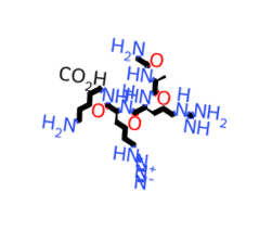 C[C@H](NC(=O)CN)C(=O)N[C@@H](CCCNC(=N)N)C(=O)N[C@@H](CCCCNN=[N+]=[N-])C(=O)N[C@@H](CCCCN)C(=O)O